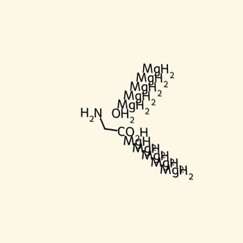 NCC(=O)O.O.[MgH2].[MgH2].[MgH2].[MgH2].[MgH2].[MgH2].[MgH2].[MgH2].[MgH2].[MgH2]